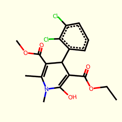 CCOC(=O)C1=C(O)N(C)C(C)=C(C(=O)OC)C1c1cccc(Cl)c1Cl